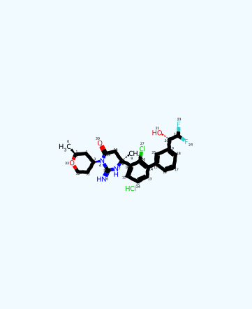 C[C@H]1C[C@@H](N2C(=N)N[C@](C)(c3cccc(-c4cccc([C@H](O)C(F)F)c4)c3Cl)CC2=O)CCO1.Cl